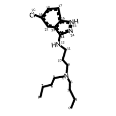 CCCCN(CCCC)CCCNc1n[nH]c2ccc(Cl)cc12